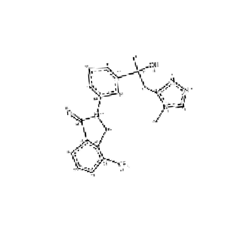 Cn1cnnc1CC(C)(O)c1cccc(N2Cc3c(cccc3C(F)(F)F)C2=O)c1